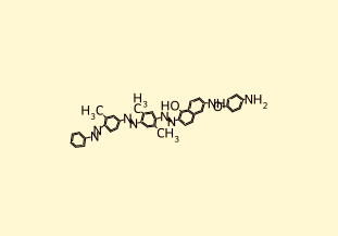 Cc1cc(N=Nc2cc(C)c(N=Nc3ccc4cc(NOc5ccc(N)cc5)ccc4c3O)cc2C)ccc1N=Nc1ccccc1